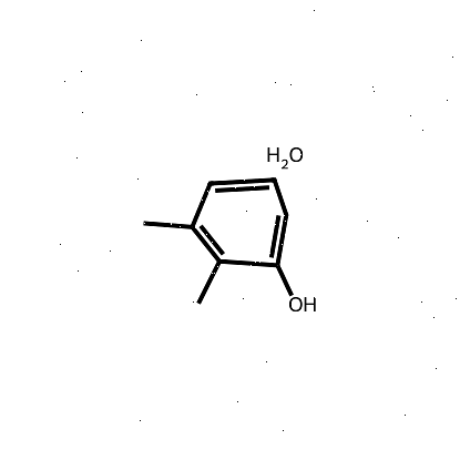 Cc1cccc(O)c1C.O